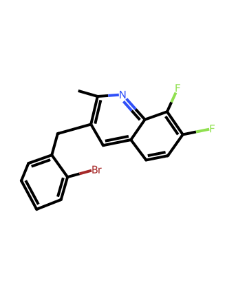 Cc1nc2c(F)c(F)ccc2cc1Cc1ccccc1Br